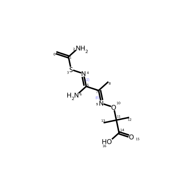 C=C(N)S/N=C(N)/C(C)=N/OC(C)(C)C(=O)O